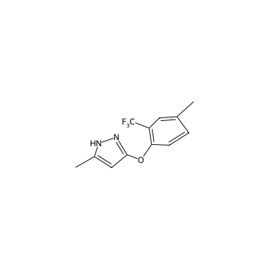 Cc1ccc(Oc2cc(C)[nH]n2)c(C(F)(F)F)c1